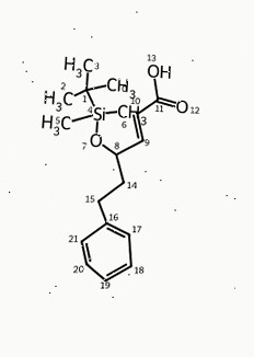 CC(C)(C)[Si](C)(C)OC(C=CC(=O)O)CCc1ccccc1